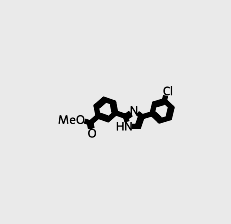 COC(=O)c1cccc(-c2nc(-c3cccc(Cl)c3)c[nH]2)c1